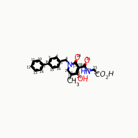 C[C@H]1CN(Cc2ccc(-c3ccccc3)cc2)C(=O)C(C(=O)NCC(=O)O)=C1O